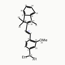 CCN(CC)c1ccc(/C=C/C2=[N+](C)c3ccccc3C2(C)C)c(OC)c1